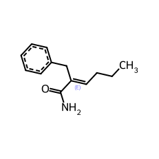 CCC/C=C(\Cc1ccccc1)C(N)=O